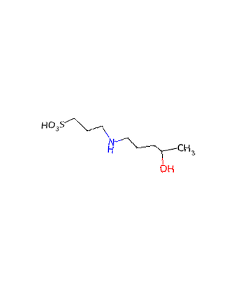 CC(O)CCCNCCCS(=O)(=O)O